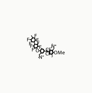 COc1ccc(C(c2ccc(Oc3c(F)c(F)c(-c4c(F)c(F)c(C)c(F)c4F)c(F)c3F)c(C[N+](C)(C)C)c2)(C(F)(F)F)C(F)(F)F)cc1C[N+](C)(C)C